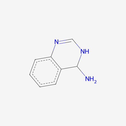 NC1NC=Nc2ccccc21